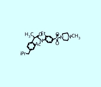 CCc1cc(S(=O)(=O)N2CCN(C)CC2)ccc1N(C(C)=O)C(=O)C(C)c1ccc(CC(C)C)cc1